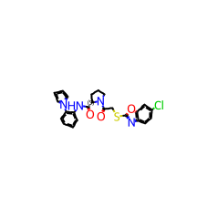 O=C(Nc1ccccc1-n1cccc1)[C@@H]1CCCN1C(=O)CSc1nc2ccc(Cl)cc2o1